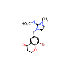 Cn1ccn(Cc2cc(Br)c3c(c2)C(=O)CCO3)/c1=N\C(=O)O